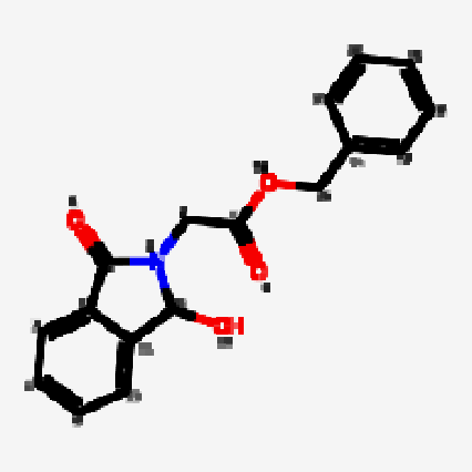 O=C(CN1C(=O)c2ccccc2C1O)OCc1ccccc1